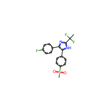 CC(F)(F)c1nc(-c2ccc(F)cc2)c(-c2ccc(S(C)(=O)=O)cc2)[nH]1